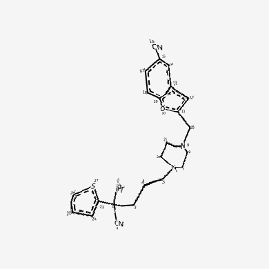 CC(C)C(C#N)(CCCN1CCN(Cc2cc3cc(C#N)ccc3o2)CC1)c1cccs1